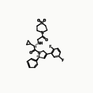 O=C(CN[C@H](C(=O)N1CC(c2cc(F)ccc2F)=C[C@H]1c1ccccc1)C1CC1)N1CCS(=O)(=O)CC1